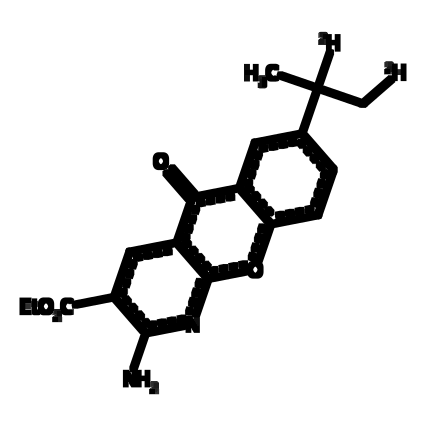 [2H]CC([2H])(C)c1ccc2oc3nc(N)c(C(=O)OCC)cc3c(=O)c2c1